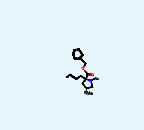 CC=CCC1(C(=O)OCc2ccccc2)C[C@@H](NC)CN1C(C)=O